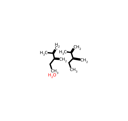 C=C(C)C(=C)CC.C=C(C)C(=C)CC.O